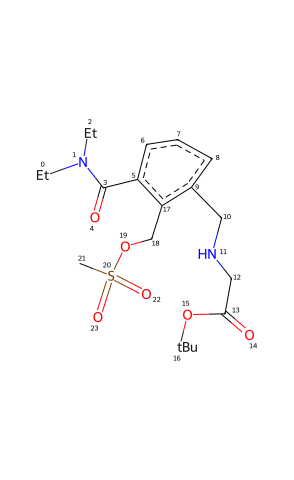 CCN(CC)C(=O)c1cccc(CNCC(=O)OC(C)(C)C)c1COS(C)(=O)=O